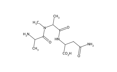 CC(N)C(=O)N(C)C(C)C(=O)NC(CC(N)=O)C(=O)O